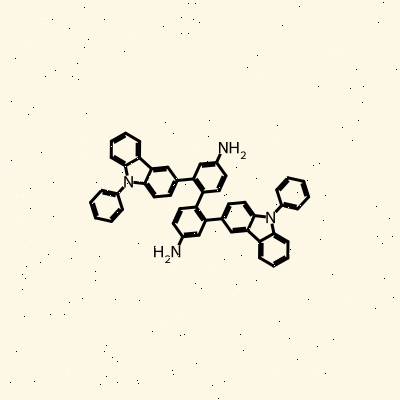 Nc1ccc(-c2ccc(N)cc2-c2ccc3c(c2)c2ccccc2n3-c2ccccc2)c(-c2ccc3c(c2)c2ccccc2n3-c2ccccc2)c1